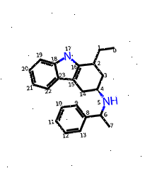 CCC1C[C@@H](NC(C)c2ccccc2)CC2=C1[N]c1ccccc12